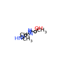 CC(O)c1cccc(-c2cnn3cc(-c4ccc(N5[C@H](C)CNC[C@@H]5C)cc4)cnc23)c1